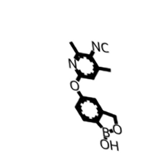 [C-]#[N+]c1c(C)cc(Oc2ccc3c(c2)COB3O)nc1C